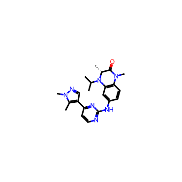 Cc1c(-c2ccnc(Nc3ccc4c(c3)N(C(C)C)[C@H](C)C(=O)N4C)n2)cnn1C